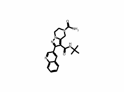 CC(C)(C)NC(=O)c1c(-c2cnc3ccccc3c2)nn2c1CN(C(N)=O)CC2